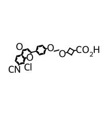 N#Cc1ccc2c(=O)cc(-c3ccc(OCCOC4CC(C(=O)O)C4)cc3)oc2c1Cl